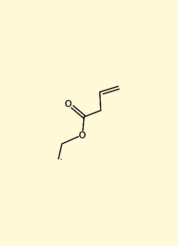 [CH2]COC(=O)CC=C